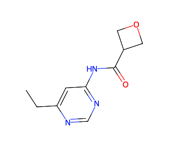 CCc1cc(NC(=O)C2COC2)ncn1